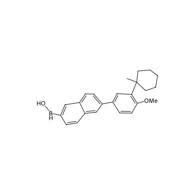 COc1ccc(-c2ccc3cc(BO)ccc3c2)cc1C1(C)CCCCC1